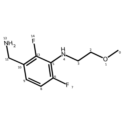 COCCNc1c(F)ccc(CN)c1F